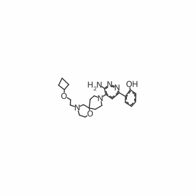 Nc1nnc(-c2ccccc2O)cc1N1CCC2(CC1)CN(CCOC1CCC1)CCO2